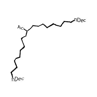 CCCCCCCCCCCCCCCCCCC(CCCCCCCCCCCCCCCCCC)C(C)=O